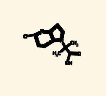 CC(C)(C(=O)O)n1ccc2nc(Cl)ccc21